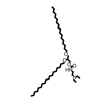 CCCCCCCCC=CCCCCCCCCOCC(COC(=O)NCCN(CC)CC)OCCCCCCCCC=CCCCCCCCC